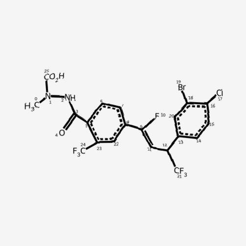 CN(NC(=O)c1ccc(C(F)=CC(c2ccc(Cl)c(Br)c2)C(F)(F)F)cc1C(F)(F)F)C(=O)O